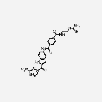 CCN(N=C(N)N)C(=O)c1cc2cc(NC(=O)c3ccc(C(=O)NCCNC(=N)N)cc3)ccc2[nH]1